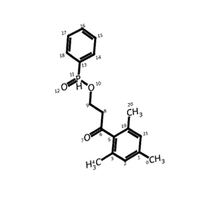 Cc1cc(C)c(C(=O)CCO[PH](=O)c2ccccc2)c(C)c1